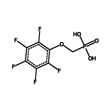 O=P(O)(O)COc1c(F)c(F)c(F)c(F)c1F